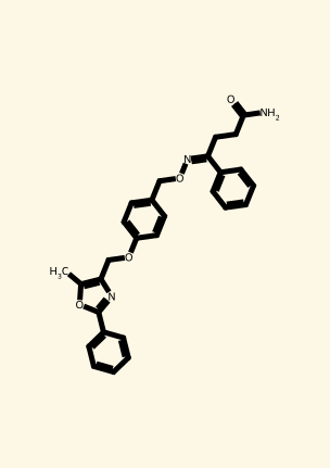 Cc1oc(-c2ccccc2)nc1COc1ccc(CON=C(CCC(N)=O)c2ccccc2)cc1